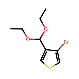 CCOC(OCC)c1cscc1Br